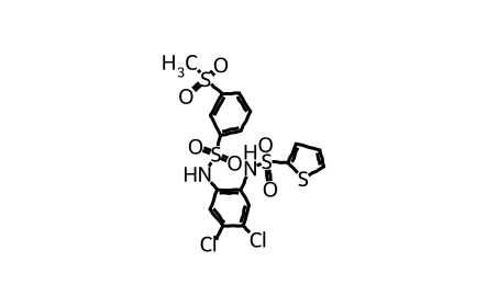 CS(=O)(=O)c1cccc(S(=O)(=O)Nc2cc(Cl)c(Cl)cc2NS(=O)(=O)c2cccs2)c1